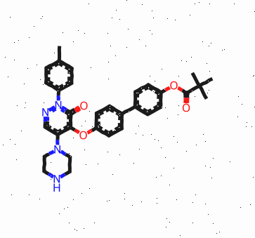 Cc1ccc(-n2ncc(N3CCNCC3)c(Oc3ccc(-c4ccc(OC(=O)C(C)(C)C)cc4)cc3)c2=O)cc1